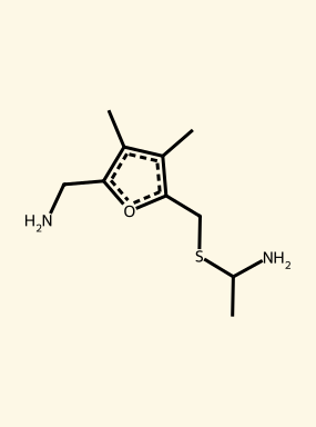 Cc1c(CN)oc(CSC(C)N)c1C